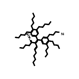 CCCCCC=CC(C(=C=[N+]=[N-])CCCC)=C(c1cc(CCCC)c(CCCC)c(CCCC)c1)c1cc(CCCCC)c(CCCCC)c(CCCCC)c1.[Ni]